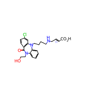 O=C(O)/C=C/CNCCCCN1c2cc(Cl)ccc2C(=O)N(CCO)c2ccccc21